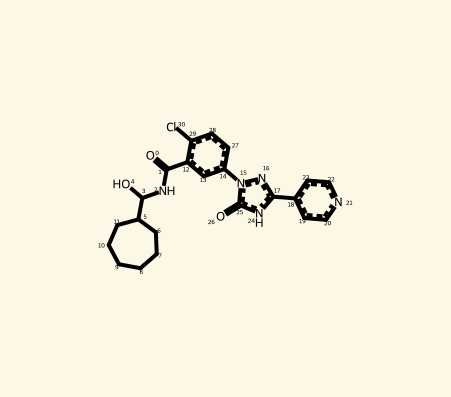 O=C(NC(O)C1CCCCCC1)c1cc(-n2nc(-c3ccncc3)[nH]c2=O)ccc1Cl